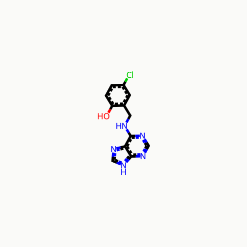 Oc1ccc(Cl)cc1CNc1ncnc2[nH]cnc12